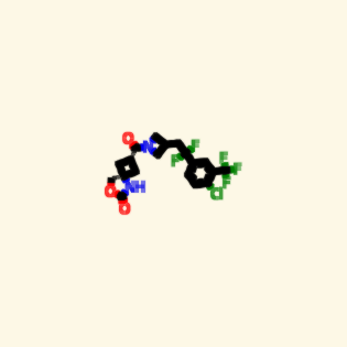 O=C1N[C@]2(CO1)C[C@@H](C(=O)N1CC(CC(F)(F)c3ccc(Cl)c(C(F)(F)F)c3)C1)C2